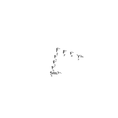 [F-].[F-].[F-].[F-].[F-].[F-].[Sm+3].[Y+3]